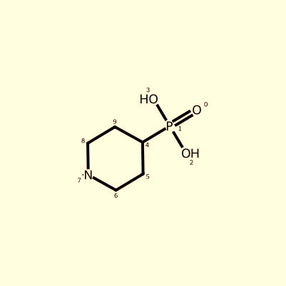 O=P(O)(O)C1CC[N]CC1